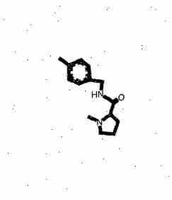 Cc1ccc(CNC(=O)C2CCCN2C)cc1